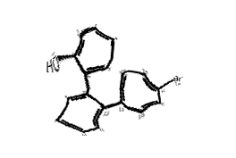 Oc1ccccc1-c1ccccc1-c1ccc(Br)cc1